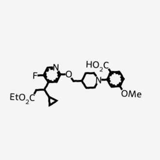 CCOC(=O)CC(c1cc(OCC2CCN(c3cc(OC)ccc3C(=O)O)CC2)ncc1F)C1CC1